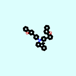 CC1(C)c2ccccc2-c2cccc(N(c3ccc(-c4ccc5c(c4)oc4ccccc45)cc3)c3ccc(-c4cccc5oc6c7ccccc7ccc6c45)cc3)c21